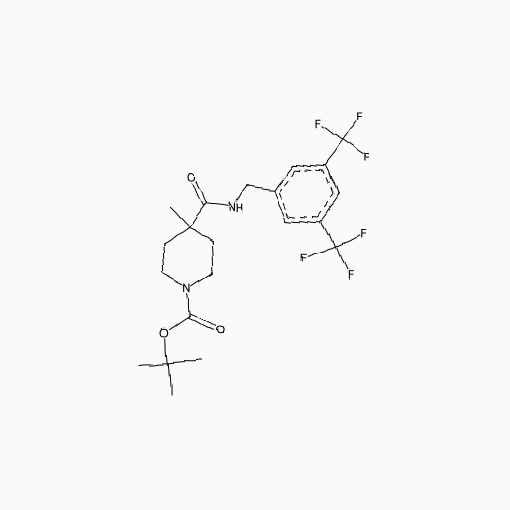 CC(C)(C)OC(=O)N1CCC(C)(C(=O)NCc2cc(C(F)(F)F)cc(C(F)(F)F)c2)CC1